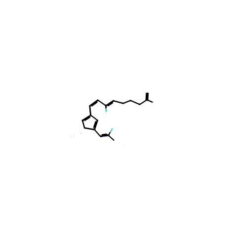 C=C(C)CCC/C=C(F)/C=C\C1=C[C@@H](C)C(/C=C(/C)F)=C1